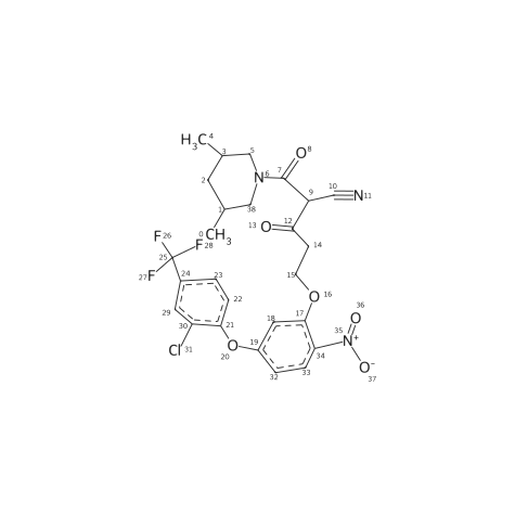 CC1CC(C)CN(C(=O)C(C#N)C(=O)CCOc2cc(Oc3ccc(C(F)(F)F)cc3Cl)ccc2[N+](=O)[O-])C1